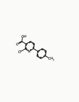 Cc1ccc(-c2ccc(C(=O)O)c(Cl)n2)cc1